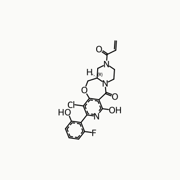 C=CC(=O)N1CCN2C(=O)c3c(O)nc(-c4c(O)cccc4F)c(Cl)c3OC[C@H]2C1